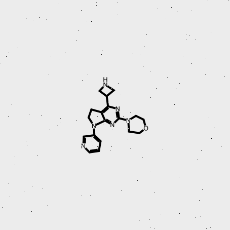 c1cncc(N2CCc3c(C4CNC4)nc(N4CCOCC4)nc32)c1